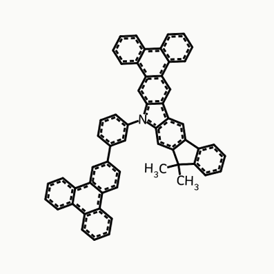 CC1(C)c2ccccc2-c2cc3c4cc5c6ccccc6c6ccccc6c5cc4n(-c4cccc(-c5ccc6c7ccccc7c7ccccc7c6c5)c4)c3cc21